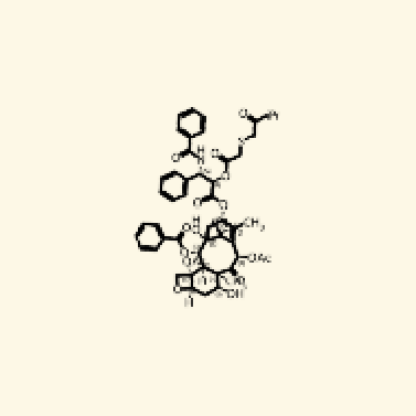 CC(=O)O[C@H]1C(=O)[C@@]2(C)[C@H]([C@H](OC(=O)c3ccccc3)[C@]3(O)C[C@H](OC(=O)[C@H](OC(=O)CSCC(=O)C(C)C)[C@@H](NC(=O)c4ccccc4)c4ccccc4)C(C)=C1C3(C)C)[C@]1(OC(C)=O)CO[C@@H]1C[C@@H]2O